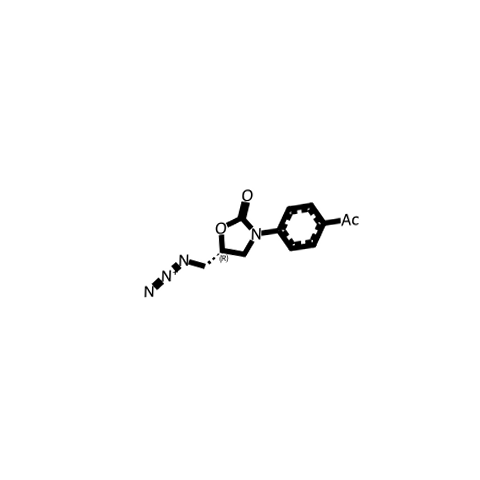 CC(=O)c1ccc(N2C[C@H](CN=[N+]=[N-])OC2=O)cc1